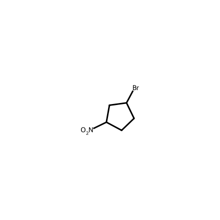 O=[N+]([O-])C1CCC(Br)C1